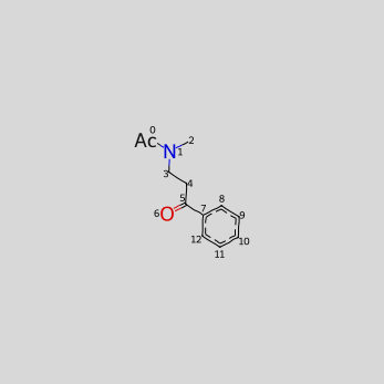 CC(=O)N(C)CCC(=O)c1ccccc1